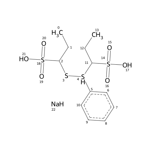 CCC(S[SH](c1ccccc1)C(CC)S(=O)(=O)O)S(=O)(=O)O.[NaH]